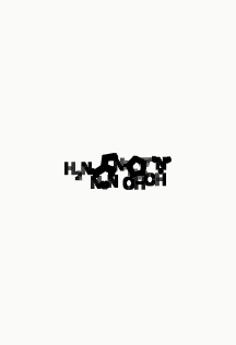 CN(C)C[C@H]1C[C@@H](n2ccc3c(N)ncnc32)[C@H](O)[C@@H]1O